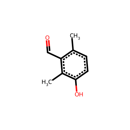 Cc1ccc(O)c(C)c1C=O